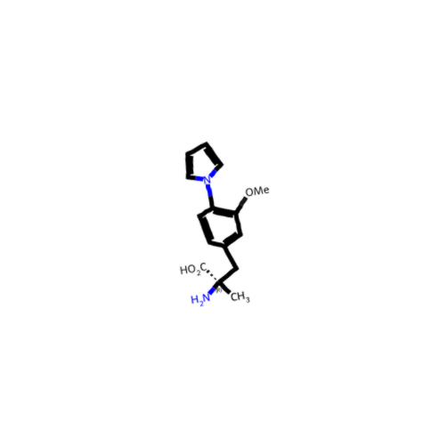 COc1cc(C[C@@](C)(N)C(=O)O)ccc1-n1cccc1